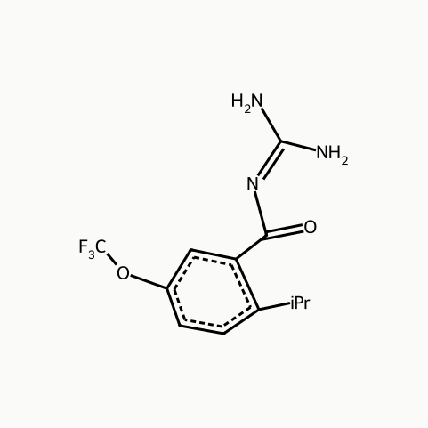 CC(C)c1ccc(OC(F)(F)F)cc1C(=O)N=C(N)N